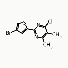 Cc1nc(-c2cc(Br)cs2)nc(Cl)c1C